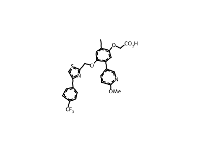 COc1ccc(-c2cc(OCC(=O)O)c(C)cc2OCc2nc(-c3ccc(C(F)(F)F)cc3)cs2)cn1